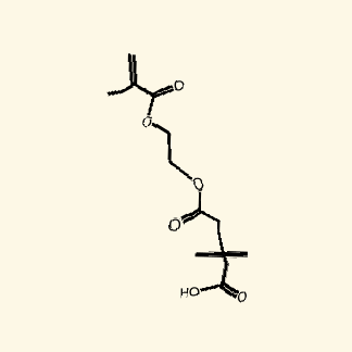 C=C(C)C(=O)OCCOC(=O)CC(C)(C)C(=O)O